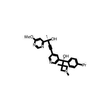 COc1cc([C@@](C)(O)C#Cc2cncc([C@@](O)(c3ccc(C(C)C)cc3)C3(C)CN(C)C3)c2)ncn1